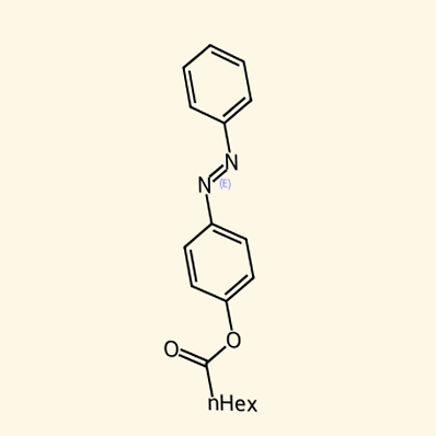 CCCCCCC(=O)Oc1ccc(/N=N/c2ccccc2)cc1